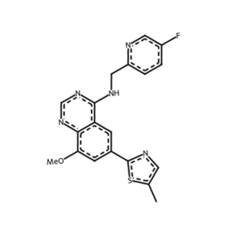 COc1cc(-c2ncc(C)s2)cc2c(NCc3ccc(F)cn3)ncnc12